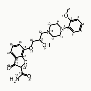 COc1ccccc1N1CCN(CC(O)COc2cccc3c2OC(C(N)=O)C3=O)CC1